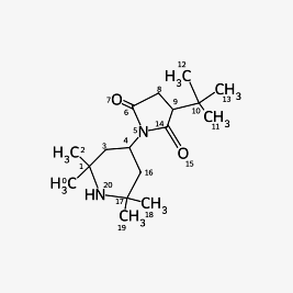 CC1(C)CC(N2C(=O)CC(C(C)(C)C)C2=O)CC(C)(C)N1